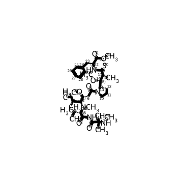 CC[C@H](C)[C@@H]([C@@H](CC(=O)N1CCC[C@H]1[C@H](OC)[C@@H](C)C(=S)N[C@@H](Cc1ccccc1)C(=O)OC)OC)N(C)[C@H](C(=O)NC(=O)C(C)(C)NC)C(C)C